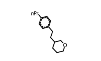 CCCc1ccc(CCC2CCCOC2)cc1